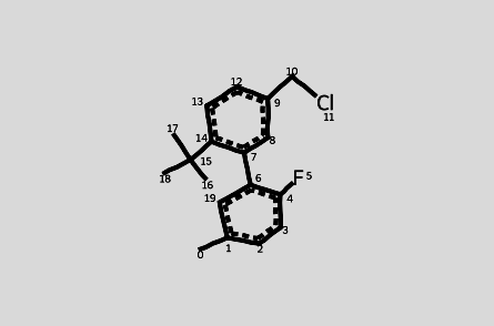 Cc1ccc(F)c(-c2cc(CCl)ccc2C(C)(C)C)c1